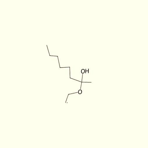 [CH2]COC(C)(O)CCCCCC